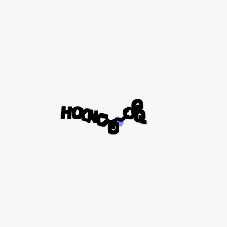 CCOc1cc(/C=C/C(=O)c2ccc(N3CCC(O)CC3)cc2)ccc1OC